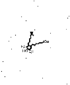 CC(C)(C)CCCCCCc1cc(O)c(O)c(O)c1CCCCCC1(C)CC1